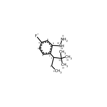 CCC(c1ccc(F)cc1NN)C(C)(C)C